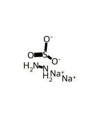 NN.O=S([O-])[O-].[Na+].[Na+]